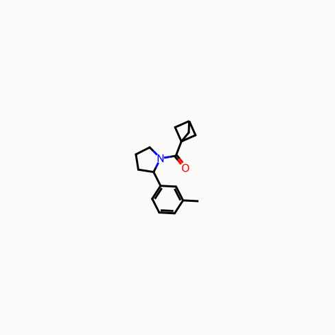 Cc1cccc(C2CCCN2C(=O)C23CC(C2)C3)c1